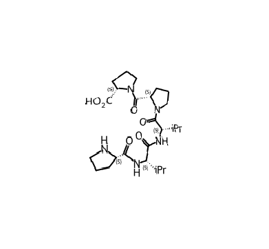 CC(C)[C@H](NC(=O)[C@@H]1CCCN1)C(=O)N[C@H](C(=O)N1CCC[C@H]1C(=O)N1CCC[C@H]1C(=O)O)C(C)C